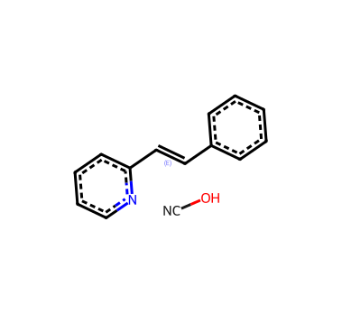 C(=C\c1ccccn1)/c1ccccc1.N#CO